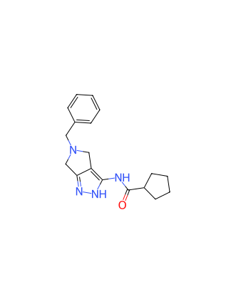 O=C(Nc1[nH]nc2c1CN(Cc1ccccc1)C2)C1CCCC1